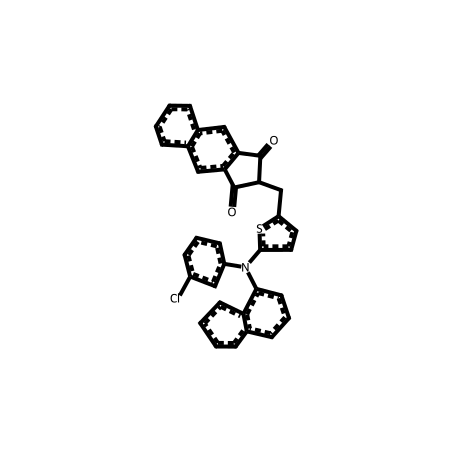 O=C1c2cc3ccccc3cc2C(=O)C1Cc1ccc(N(c2cccc(Cl)c2)c2cccc3ccccc23)s1